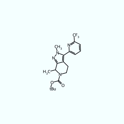 CC1c2nn(C)c(-c3cccc(C(F)(F)F)n3)c2CCN1C(=O)OC(C)(C)C